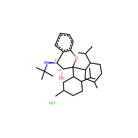 CC1CCC(C(C)C)C(C2(C3CC(C)CCC3C(C)C)Oc3ccccc3[C@H](NC(C)(C)C)[C@H]2O)C1.Cl